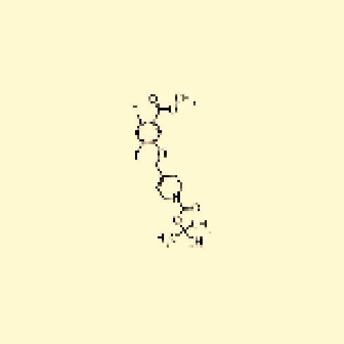 COC(=O)c1cc(OCC2=CCN(C(=O)OC(C)(C)C)CC2)c(I)cc1F